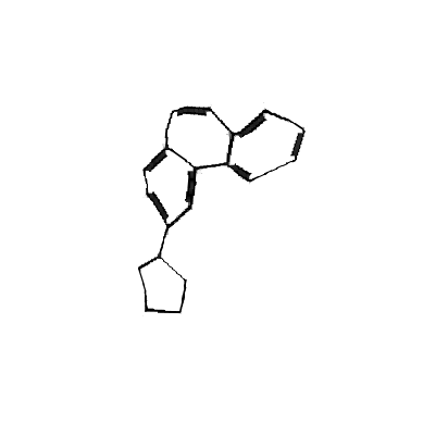 c1ccc2c(c1)ccc1ccc(C3CCCC3)cc12